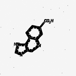 O=C(O)c1ccc2c(c1)ncc1nc[nH]c12